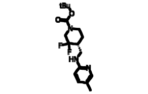 Cc1ccc(NC[C@H]2CCN(C(=O)OC(C)(C)C)CC2(F)F)nc1